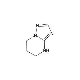 c1nc2n(n1)CCCN2